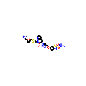 CN(C)Cc1ccc(CSCCNC(=O)C(Cc2ccccc2)n2cc(COc3ccc4nc(S(N)(=O)=O)sc4c3)nn2)o1